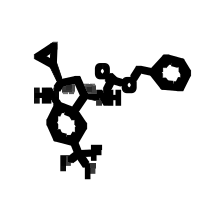 O=C(N[C@@H]1C[C@H](C2CC2)Nc2ccc(C(F)(F)F)cc21)OCc1ccccc1